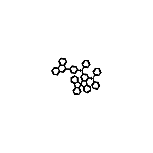 c1ccc(N(c2ccc(-c3cc4ccccc4c4ccccc34)cc2)c2cc(N(c3ccccc3)c3ccccc3)c3c(c2)C2(c4ccccc4-c4ccccc42)c2ccccc2-3)cc1